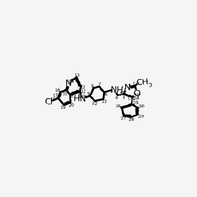 CC1=N[C@H](CNC2CCC(Nc3ccnc4cc(Cl)ccc34)CC2)[C@H](c2ccccc2)O1